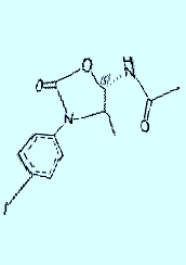 CC(=O)N[C@H]1OC(=O)N(c2ccc(I)cc2)C1C